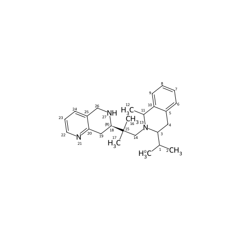 CC(C)C1Cc2ccccc2C(C)N1CC(C)(C)[C@H]1Cc2ncccc2CN1